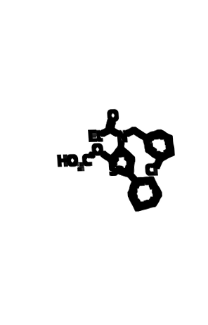 CCC(=O)N(Cc1cccc(Cl)c1)c1cc(-c2ccccc2)sc1OC(=O)O